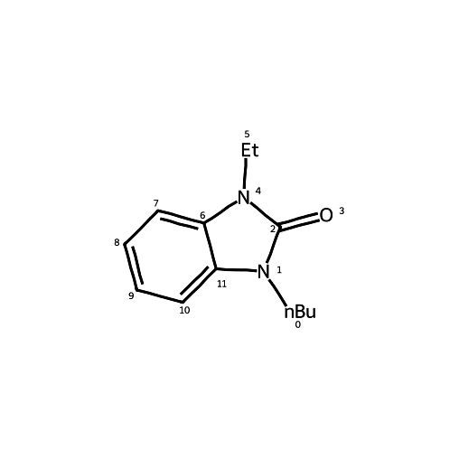 CCCCn1c(=O)n(CC)c2ccccc21